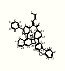 C=C(/C(=C\C=C/C)c1cc(-c2ccccc2)nc(C2=C3CCC=CC3=CC3CC[C@@H]23)n1)c1ccc(-c2ccc3oc4ccccc4c3c2)cc1